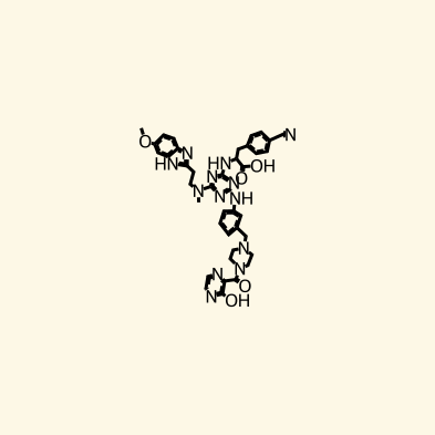 COc1ccc2nc(CCN(C)c3nc(Nc4cccc(CN5CCN(C(=O)c6nccnc6O)CC5)c4)nc(NC(Cc4ccc(C#N)cc4)C(=O)O)n3)[nH]c2c1